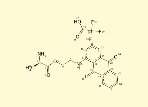 C[C@@H](N)C(=O)OCCNc1cccc2c1C(=O)c1ccccc1C2=O.O=C(O)C(F)(F)F